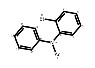 CCc1ccccc1N(C(C)=O)c1ccccc1